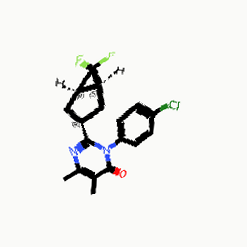 Cc1nc([C@H]2C[C@@H]3[C@H](C2)C3(F)F)n(-c2ccc(Cl)cc2)c(=O)c1C